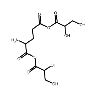 NC(CCC(=O)OC(=O)C(O)CO)C(=O)OC(=O)C(O)CO